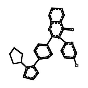 O=c1c2ccccc2nc(-c2ccc(-c3cccn3C3CCCC3)cc2)n1-c1ccc(Cl)cn1